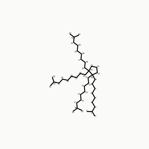 CC(C)CCCCCCCC1(CCCCCCCC(C)C)CCCC1(CCCCCCCC(C)C)CCCCCCCC(C)C